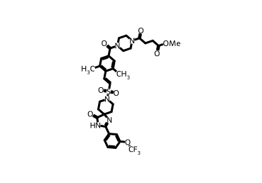 COC(=O)CCC(=O)N1CCN(C(=O)c2cc(C)c(/C=C/S(=O)(=O)N3CCC4(CC3)N=C(c3cccc(OC(F)(F)F)c3)NC4=O)c(C)c2)CC1